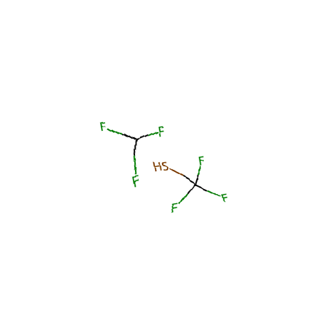 FC(F)(F)S.FC(F)F